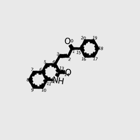 O=C(C=Cc1cc2ccccc2[nH]c1=O)c1ccccc1